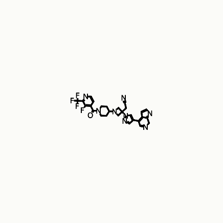 N#CCC1(n2cc(C3=C4C=CN=C4CN=C3)cn2)CN(C2CCN(C(=O)c3ccnc(C(F)(F)F)c3F)CC2)C1